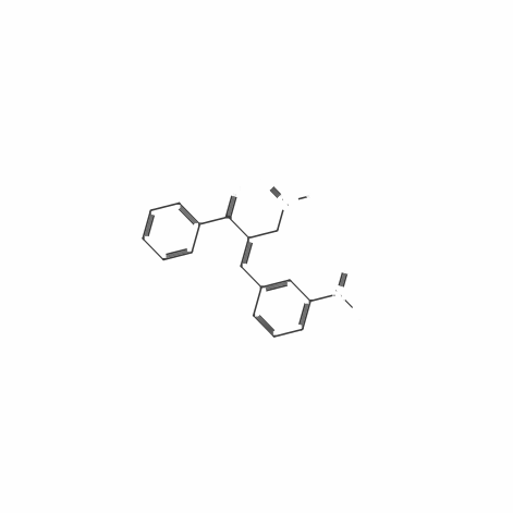 O=C(/C(=C/c1cccc([N+](=O)[O-])c1)C[N+](=O)[O-])c1ccccc1